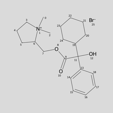 C[N+]1(C)CCCC1COC(=O)C(O)(c1ccccc1)C1CCCCC1.[Br-]